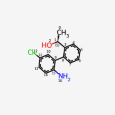 C[C@H](O)c1ccccc1-c1cc(Cl)ccc1N